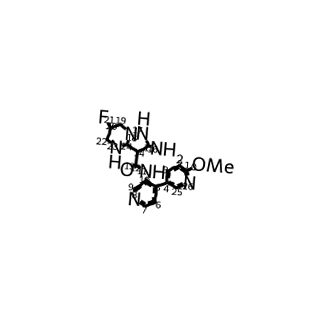 COc1ccc(-c2ccncc2NC(=O)C2C(N)NN3CC(F)CNC23)cn1